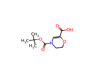 CC(C)(C)OC(=O)N1C=C(C(=O)O)OCC1